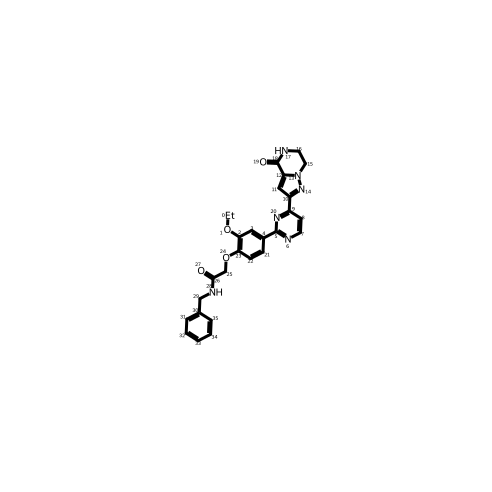 CCOc1cc(-c2nccc(-c3cc4n(n3)CCNC4=O)n2)ccc1OCC(=O)NCc1ccccc1